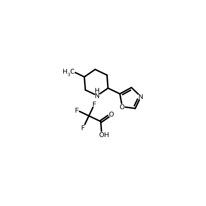 CC1CCC(c2cnco2)NC1.O=C(O)C(F)(F)F